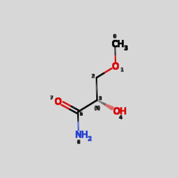 COC[C@H](O)C(N)=O